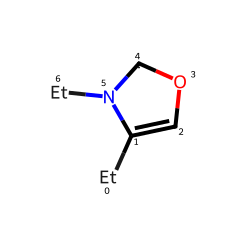 CCC1=CO[CH]N1CC